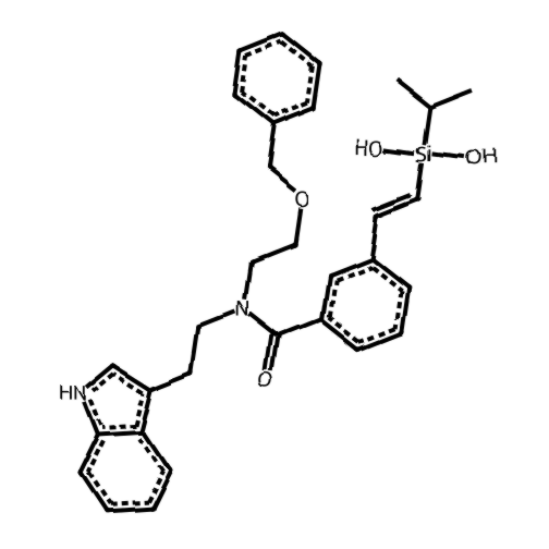 CC(C)[Si](O)(O)C=Cc1cccc(C(=O)N(CCOCc2ccccc2)CCc2c[nH]c3ccccc23)c1